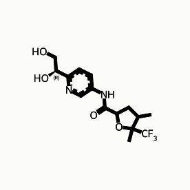 CC1CC(C(=O)Nc2ccc([C@@H](O)CO)nc2)OC1(C)C(F)(F)F